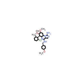 COc1ccc(CNc2nc3c(-c4c(C)cccc4Cl)c(OC)c(OC)cc3n3c(N)ncc23)cc1